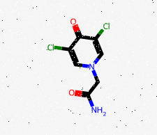 NC(=O)Cn1cc(Cl)c(=O)c(Cl)c1